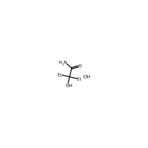 CCC(O)(CC)C(N)=O.Cl